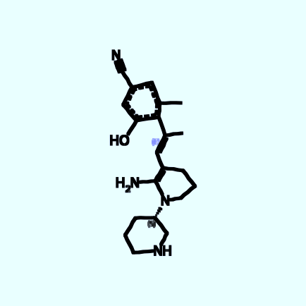 C/C(=C\C1=C(N)N([C@H]2CCCNC2)CCC1)c1c(C)cc(C#N)cc1O